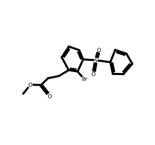 COC(=O)CCc1cccc(S(=O)(=O)c2ccccc2)c1Br